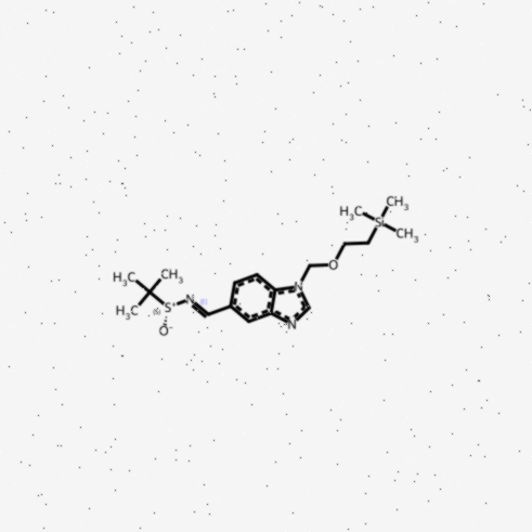 CC(C)(C)[S@@+]([O-])/N=C/c1ccc2c(c1)ncn2COCC[Si](C)(C)C